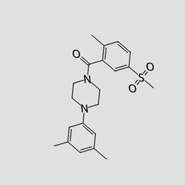 Cc1cc(C)cc(N2CCN(C(=O)c3cc(S(C)(=O)=O)ccc3C)CC2)c1